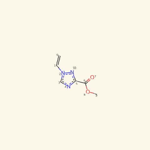 C=Cn1cnc(C(=O)OC)n1